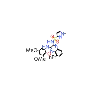 CCCOc1c(Nc2nc3ccccc3nc2NS(=O)(=O)c2ccn(C)n2)cc(OC)cc1OC